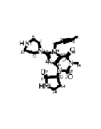 CC#CCn1c(N2CCNCC2)nc2c1c(=O)n(C)c(=O)n2C1CCNC1=O